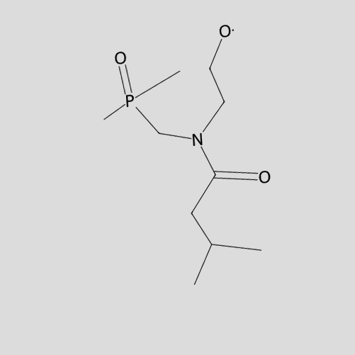 CC(C)CC(=O)N(CC[O])CP(C)(C)=O